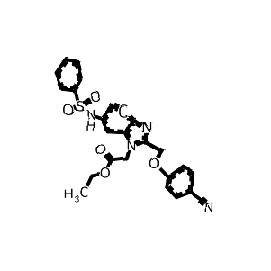 CCOC(=O)Cn1c(COc2ccc(C#N)cc2)nc2ccc(NS(=O)(=O)c3ccccc3)cc21